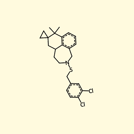 CC1(C)c2cccc3c2C(CCN(SCc2ccc(Cl)c(Cl)c2)C3)CC12CC2